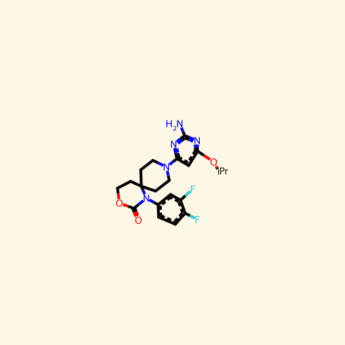 CC(C)Oc1cc(N2CCC3(CCOC(=O)N3c3ccc(F)c(F)c3)CC2)nc(N)n1